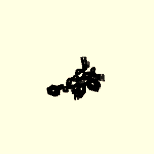 NC(=O)[C@@H]1C[C@@]2(CC1C(=O)[C@@H]1[C@H]3CCC[C@H]3CN1C(=O)OCc1ccccc1)C(=O)Nc1ccccc12